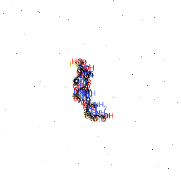 C[C@H](NC(=O)[C@@H]1CCCN1C(=O)[C@H](CC(N)=O)NC(=O)[C@H](CS)NC(=O)[C@H](CS)NC(=O)[C@@H](N)CCC(=O)O)C(=O)N[C@@H](CS)C(=O)NCC(=O)N[C@@H](CCCNC(=N)N)C(=O)N[C@@H](Cc1c[nH]cn1)C(=O)N[C@@H](Cc1ccc(O)cc1)C(=O)N[C@@H](CO)C(=O)N[C@@H](CS)C(=O)O